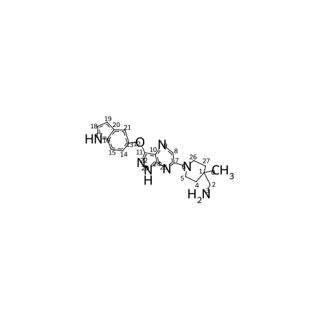 CC1(CN)CCN(c2cnc3c(Oc4ccc5[nH]ccc5c4)n[nH]c3n2)CC1